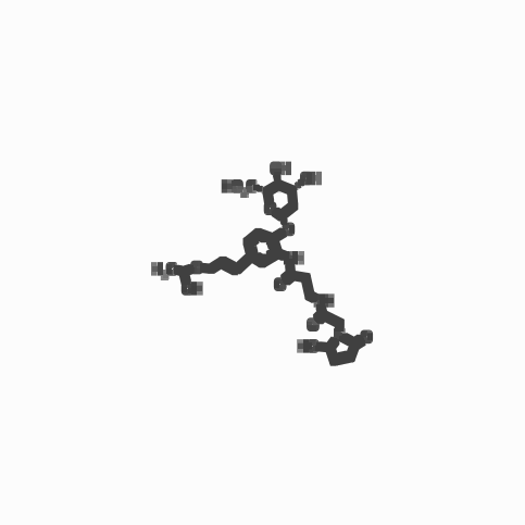 CC(O)OC/C=C/c1ccc(O[C@H]2C[C@@H](O)[C@H](O)[C@@H](C(=O)O)O2)c(NC(=O)CCNC(=O)CN2C(=O)C=CC2O)c1